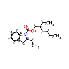 CCCCC(CC)COC(=O)N1c2ccccc2CC1CC